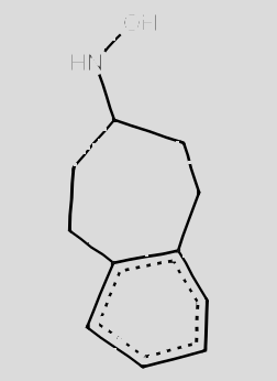 ONC1CCc2ccccc2CC1